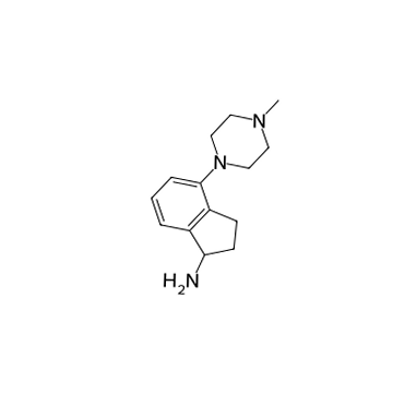 CN1CCN(c2cccc3c2CCC3N)CC1